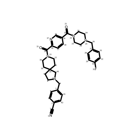 N#Cc1ccc(CN2CCC3(CCN(C(=O)c4ccc(C(=O)N5CCN(Cc6ccc(F)cc6)CC5)cn4)CC3)C2)cc1